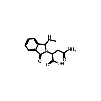 CNC1c2ccccc2C(=O)N1C(CC(N)=O)C(=O)O